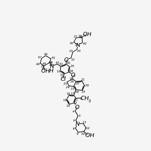 Cc1c(OCCCN2CCC(O)CC2)cccc1-c1cccc2c1CC[C@@H]2Oc1cc(OCCCN2CC[C@H](O)C2)c(CN[C@@H]2CCCC[C@@H]2O)cc1Cl